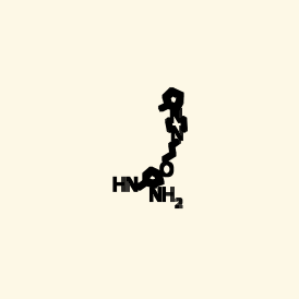 Cc1ccccc1N1CCN(CCCCOc2ccc(C=N)c(N)c2)CC1